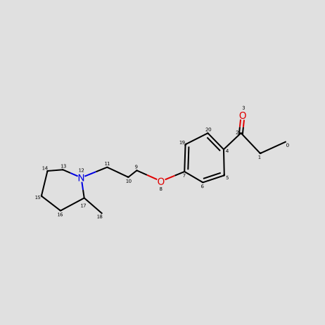 CCC(=O)c1ccc(OCCCN2CCCCC2C)cc1